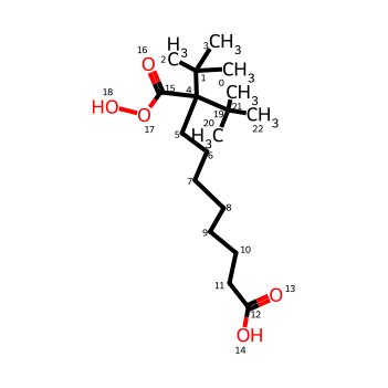 CC(C)(C)C(CCCCCCCC(=O)O)(C(=O)OO)C(C)(C)C